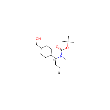 C=CC[C@@H](C1CCC(CO)CC1)N(C)C(=O)OC(C)(C)C